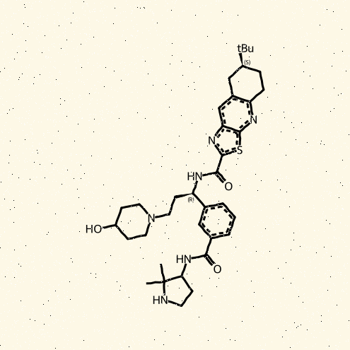 CC1(C)NCCC1NC(=O)c1cccc([C@@H](CCN2CCC(O)CC2)NC(=O)c2nc3cc4c(nc3s2)CC[C@H](C(C)(C)C)C4)c1